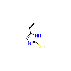 C=Cc1cnc(S)[nH]1